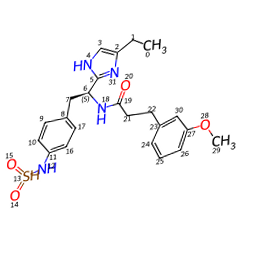 CCc1c[nH]c([C@H](Cc2ccc(N[SH](=O)=O)cc2)NC(=O)CCc2cccc(OC)c2)n1